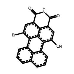 N#Cc1cc2c3c(cc(Br)c4c5cccc6cccc(c1c34)c65)C(=O)NC2=O